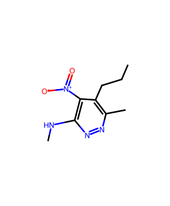 CCCc1c(C)nnc(NC)c1[N+](=O)[O-]